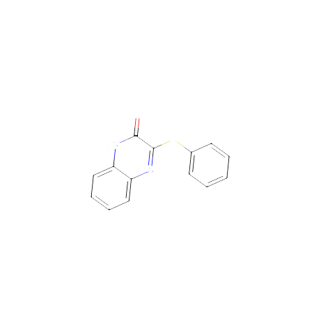 O=c1[nH]c2ccccc2nc1Sc1ccccc1